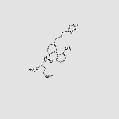 CSCCC(NC(=O)c1ccc(CSCc2c[nH]cn2)cc1-c1ccccc1C)C(=O)O